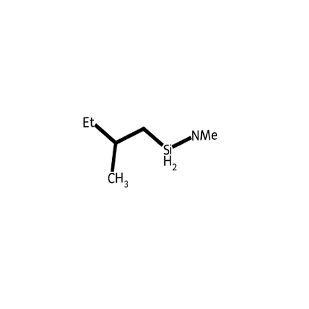 CCC(C)C[SiH2]NC